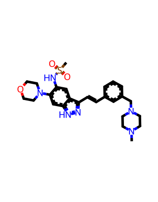 CN1CCN(Cc2cccc(C=Cc3n[nH]c4cc(N5CCOCC5)c(NS(C)(=O)=O)cc34)c2)CC1